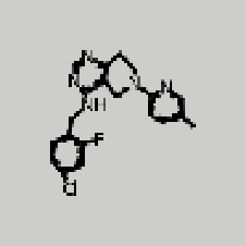 Cc1ccc(N2CCc3ncnc(NCc4ccc(Cl)cc4F)c3C2)nc1